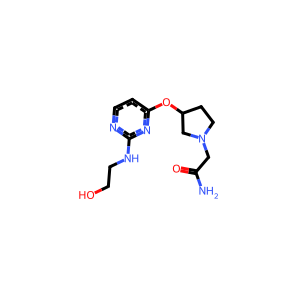 NC(=O)CN1CCC(Oc2ccnc(NCCO)n2)C1